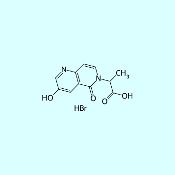 Br.CC(C(=O)O)n1ccc2ncc(O)cc2c1=O